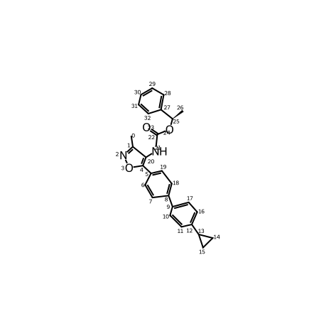 Cc1noc(-c2ccc(-c3ccc(C4CC4)cc3)cc2)c1NC(=O)O[C@H](C)c1ccccc1